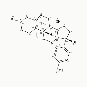 COc1ccc([C@@]2(O)CC[C@]3(O)[C@@H]4CC=C5C[C@@H](O)CC[C@]5(C)[C@H]4CC[C@]23C)cc1